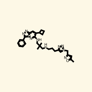 Cc1cc(Cn2cc(CCCNCC(C)(C)CNc3nn4c(-c5ccccc5)nnc4cc3C3CCC3)nn2)no1